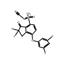 CS(=O)(=NC#N)c1ccc(Oc2cc(F)cc(F)c2)c2c1C(=O)C(F)(F)C2